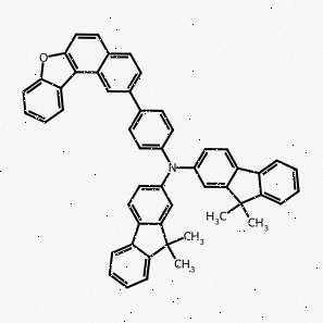 CC1(C)c2ccccc2-c2ccc(N(c3ccc(-c4ccc5ccc6oc7ccccc7c6c5c4)cc3)c3ccc4c(c3)C(C)(C)c3ccccc3-4)cc21